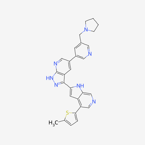 Cc1ccc(-c2cncc3[nH]c(-c4n[nH]c5ncc(-c6cncc(CN7CCCC7)c6)cc45)cc23)s1